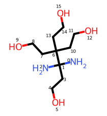 NC(N)(CCO)C(CCO)(CCO)CCO